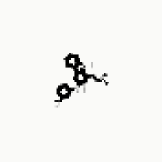 CN(C)CCc1cc(Nc2cccc(Cl)c2)cc2c1[nH]c1ccccc12